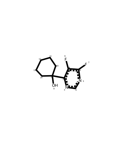 OC1(c2n[c]nc(F)c2F)CCCCC1